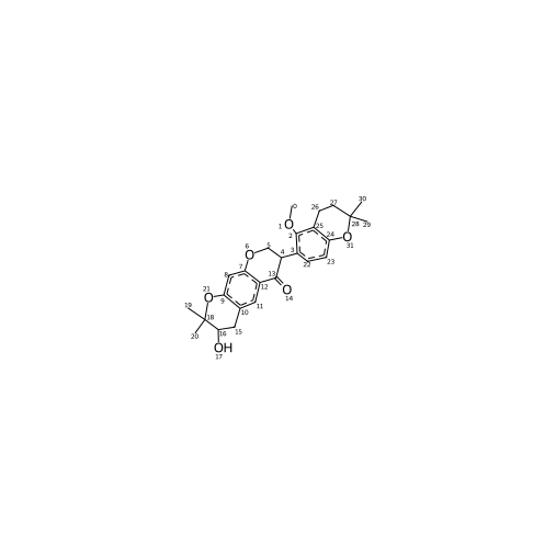 COc1c(C2COc3cc4c(cc3C2=O)CC(O)C(C)(C)O4)ccc2c1CCC(C)(C)O2